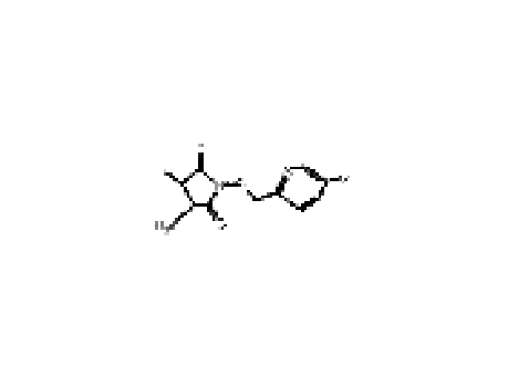 BC1C(=O)N(OCc2ccc(Br)cn2)C(=O)C1C